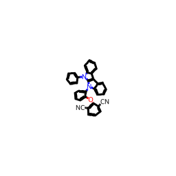 N#Cc1cccc(C#N)c1Oc1ccccc1-n1c2ccccc2c2c3ccccc3n(-c3ccccc3)c21